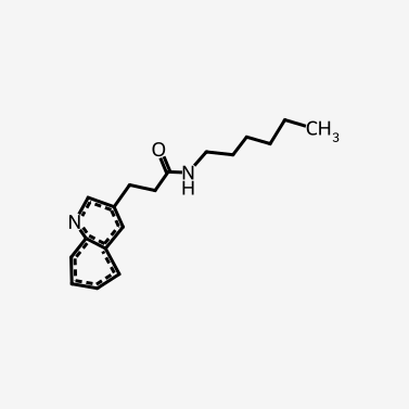 CCCCCCNC(=O)CCc1cnc2ccccc2c1